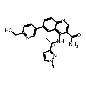 C[C@H](Nc1c(C(N)=O)cnc2ccc(-c3ccc(CO)nc3)cc12)c1ccn(C)n1